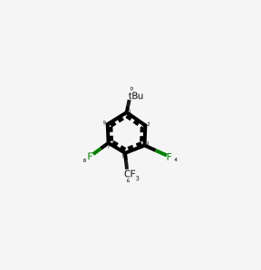 CC(C)(C)c1cc(F)c(C(F)(F)F)c(F)c1